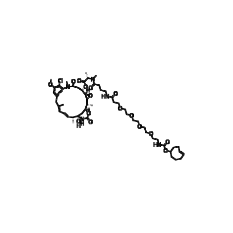 COc1cc2cc(c1Cl)N(C)C(=O)C[C@H](OC(=O)[C@H](C)N(C)C(=O)CCCNC(=O)CCOCCOCCOCCOCCNC(=O)OC1CC/C=C/CCC1)[C@@H]1OC1[C@H](C)[C@@H]1C[C@@](O)(NC(=O)O1)[C@H](C)/C=C/C=C(\C)C2